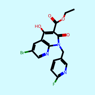 CCOC(=O)c1c(O)c2cc(Br)cnc2n(Cc2ccc(F)nc2)c1=O